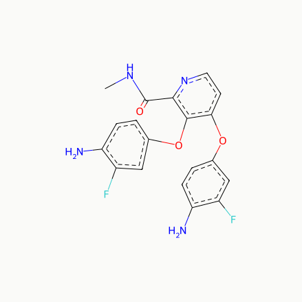 CNC(=O)c1nccc(Oc2ccc(N)c(F)c2)c1Oc1ccc(N)c(F)c1